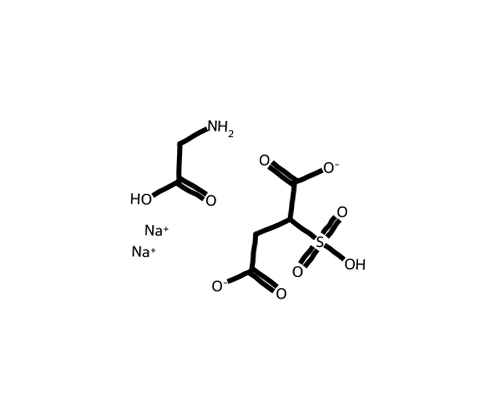 NCC(=O)O.O=C([O-])CC(C(=O)[O-])S(=O)(=O)O.[Na+].[Na+]